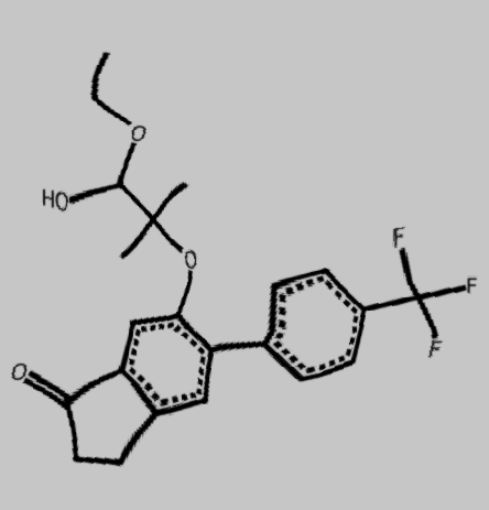 CCOC(O)C(C)(C)Oc1cc2c(cc1-c1ccc(C(F)(F)F)cc1)CCC2=O